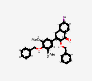 COc1cc(C2=C(OCc3ccccc3)C(=O)c3ccc(I)cc3C2)cc(OC)c1OCc1ccccc1